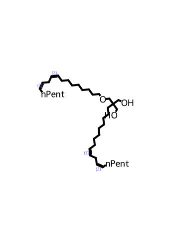 CCCCC/C=C\C/C=C\CCCCCCCCOCC(CO)(CO)CCCCCCCC/C=C\C/C=C\CCCCC